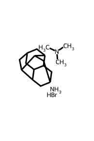 Br.C1C2CC3C4CC5CC(C14)C(C2)C3C5.CN(C)C.N